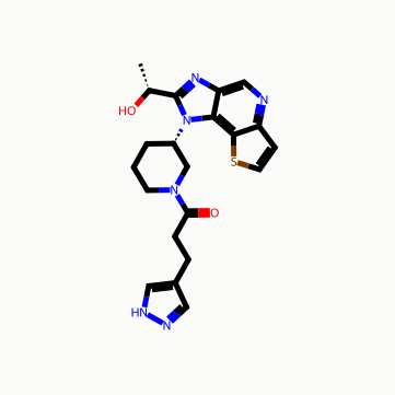 C[C@@H](O)c1nc2cnc3ccsc3c2n1[C@H]1CCCN(C(=O)CCc2cn[nH]c2)C1